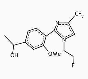 COc1cc(C(C)O)ccc1-c1nc(C(F)(F)F)cn1CCF